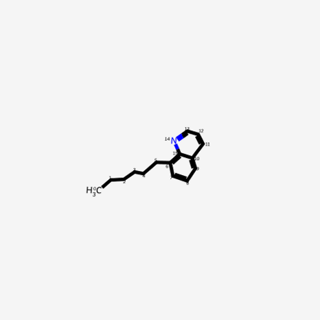 CCCCCCc1cccc2[c]ccnc12